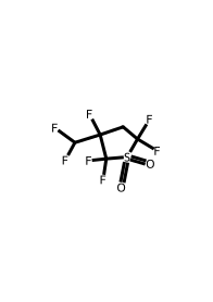 O=S1(=O)C(F)(F)CC(F)(C(F)F)C1(F)F